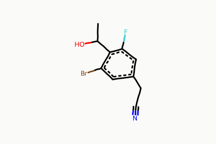 CC(O)c1c(F)cc(CC#N)cc1Br